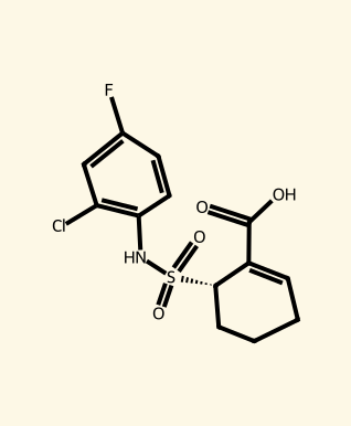 O=C(O)C1=CCCC[C@@H]1S(=O)(=O)Nc1ccc(F)cc1Cl